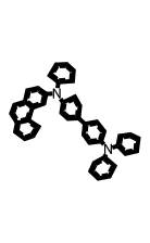 c1ccc(N(c2ccccc2)c2ccc(-c3ccc(N(c4ccccc4)c4ccc5ccc6ccccc6c5c4)cc3)cc2)cc1